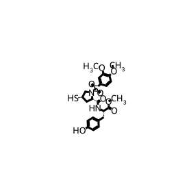 COC(=O)[C@H](Cc1ccc(O)cc1)NC(=O)[C@@H]1C[C@H](S)CN1S(=O)(=O)c1ccc(OC)c(OC)c1